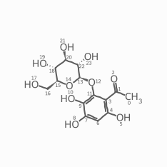 CC(=O)c1c(O)cc(O)c(O)c1O[C@H]1O[C@@H](CO)[C@H](O)[C@@H](O)[C@@H]1O